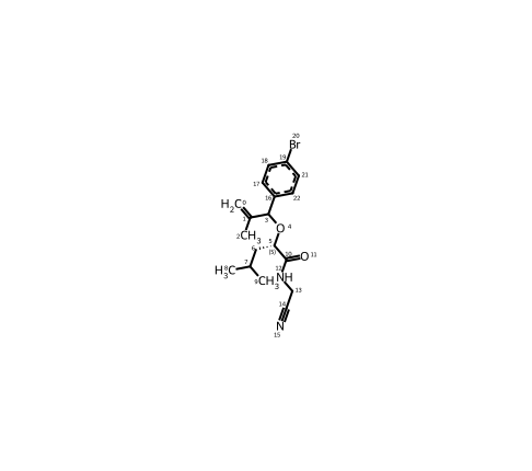 C=C(C)C(O[C@@H](CC(C)C)C(=O)NCC#N)c1ccc(Br)cc1